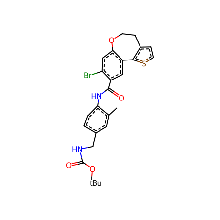 Cc1cc(CNC(=O)OC(C)(C)C)ccc1NC(=O)c1cc2c(cc1Br)OCCc1ccsc1-2